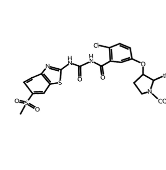 CC(C)(C)C1C(Oc2ccc(Cl)c(C(=O)NC(=O)Nc3nc4ccc(S(C)(=O)=O)cc4s3)c2)CCN1C(=O)O